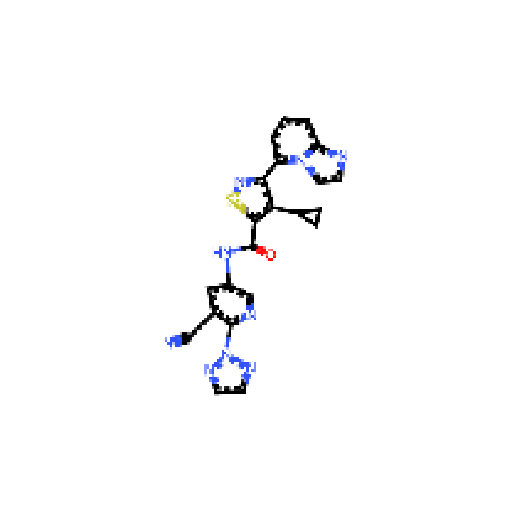 N#Cc1cc(NC(=O)c2snc(-c3cccc4nccn34)c2C2CC2)cnc1-n1nccn1